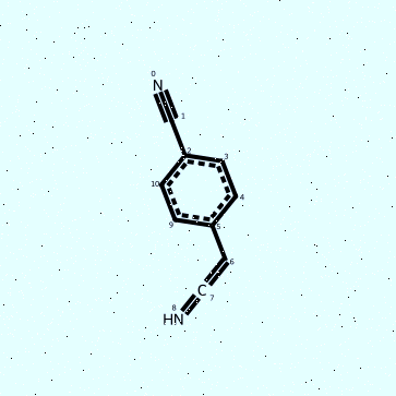 N#Cc1ccc(C=C=N)cc1